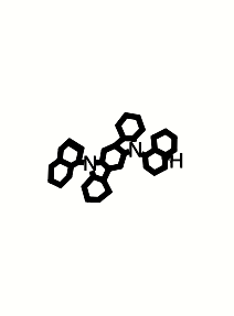 C1=CC(N2C3CCCCC3C3CC4C(CC32)C2CCCCC2N4C2CCC[C@H]3CCCCC23)C2CCCCC2C1